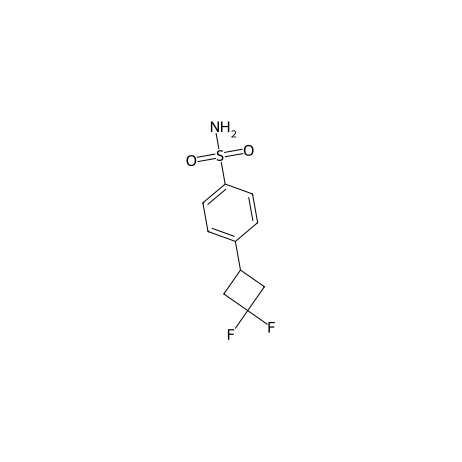 NS(=O)(=O)c1ccc(C2CC(F)(F)C2)cc1